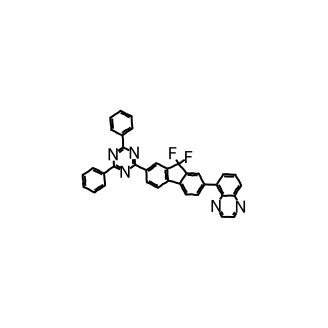 FC1(F)c2cc(-c3nc(-c4ccccc4)nc(-c4ccccc4)n3)ccc2-c2ccc(-c3cccc4nccnc34)cc21